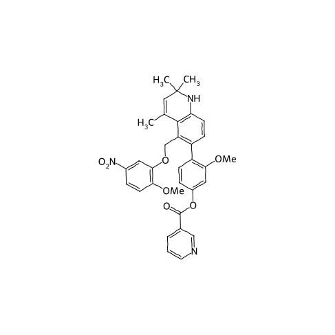 COc1ccc([N+](=O)[O-])cc1OCc1c(-c2ccc(OC(=O)c3cccnc3)cc2OC)ccc2c1C(C)=CC(C)(C)N2